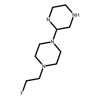 FCCN1CCN(C2CNCC[N]2)CC1